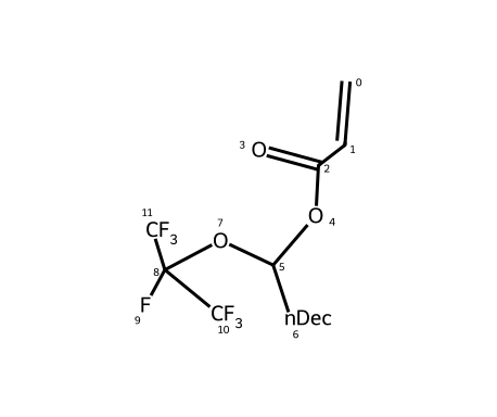 C=CC(=O)OC(CCCCCCCCCC)OC(F)(C(F)(F)F)C(F)(F)F